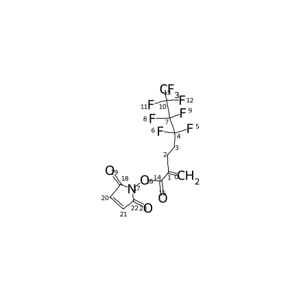 C=C(CCC(F)(F)C(F)(F)C(F)(F)C(F)(F)F)C(=O)ON1C(=O)C=CC1=O